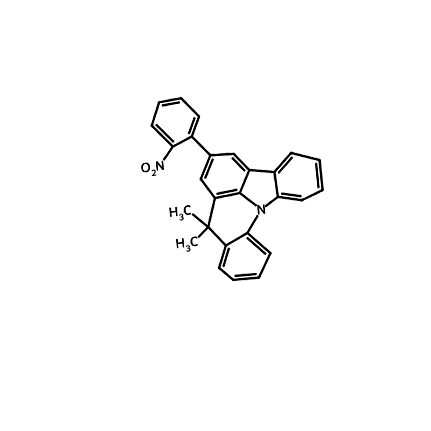 CC1(C)c2ccccc2-n2c3ccccc3c3cc(-c4ccccc4[N+](=O)[O-])cc1c32